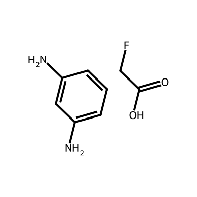 Nc1cccc(N)c1.O=C(O)CF